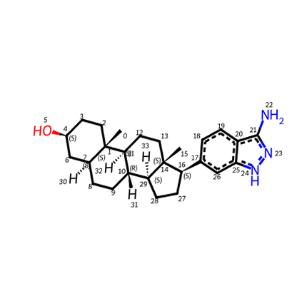 C[C@]12CC[C@H](O)C[C@@H]1CC[C@@H]1[C@@H]2CC[C@]2(C)[C@@H](c3ccc4c(N)n[nH]c4c3)CC[C@@H]12